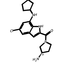 N[C@@H]1CCN(C(=O)c2cc3cc(Cl)cc(NC4CCCC4)c3[nH]2)C1